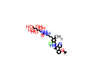 Cc1cc(CNC2(c3cnccc3-c3ccccc3OC3CC3)CC2)c(Cl)cc1CCCCNC(=O)NC[C@@H](O)[C@H](O)[C@@H](O)[C@@H](O)CO